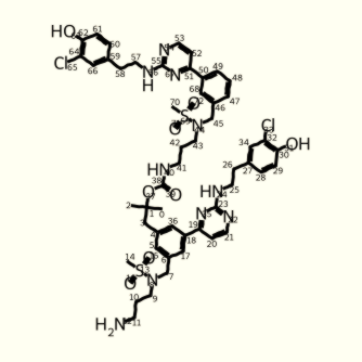 CC(C)(Cc1cc(CN(CCCN)S(C)(=O)=O)cc(-c2ccnc(NCCc3ccc(O)c(Cl)c3)n2)c1)OC(=O)NCCCN(Cc1cccc(-c2ccnc(NCCc3ccc(O)c(Cl)c3)n2)c1)S(C)(=O)=O